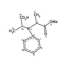 COC(=O)C(C)N(c1ccccc1)C(C)C(=O)O